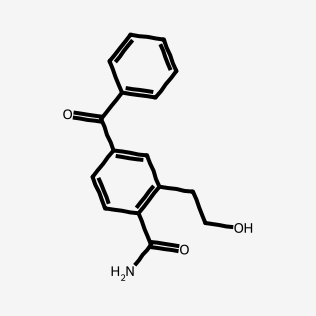 NC(=O)c1ccc(C(=O)c2ccccc2)cc1CCO